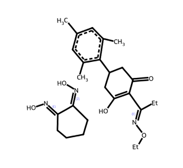 CCO/N=C(\CC)C1=C(O)CC(c2c(C)cc(C)cc2C)CC1=O.O/N=C1/CCCC/C1=N\O